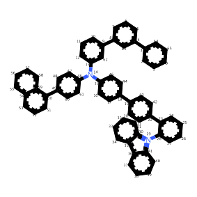 c1ccc(-c2cccc(-c3cccc(N(c4ccc(-c5ccc(-c6ccccc6-n6c7ccccc7c7ccccc76)cc5)cc4)c4ccc(-c5cccc6ccccc56)cc4)c3)c2)cc1